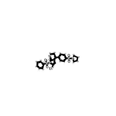 CCc1cc2c(-c3ccc(S(=O)(=O)N4CCCC4)cc3)ccnc2n1S(=O)(=O)c1ccccc1